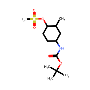 CC1CC(NC(=O)OC(C)(C)C)CCC1OS(C)(=O)=O